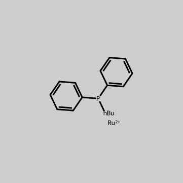 CCCCP(c1ccccc1)c1ccccc1.[Ru+2]